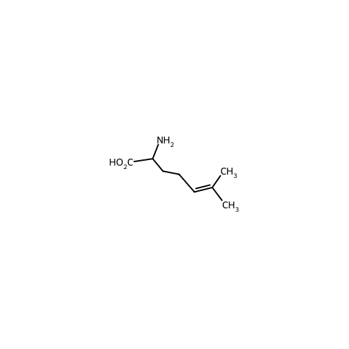 CC(C)=CCCC(N)C(=O)O